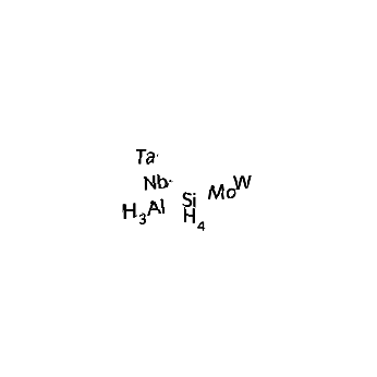 [AlH3].[Mo].[Nb].[SiH4].[Ta].[W]